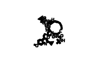 COc1ccc2c3c(c(C4CC4)nc2c1)O[C@]1(CC3)C[C@H]2C(=O)N[C@]3(C(=O)NS(=O)(=O)C4(C)CC4)C[C@H]3C=CCCCCC[C@H](NC(=O)NC(C)(C)C)C(=O)N2C1